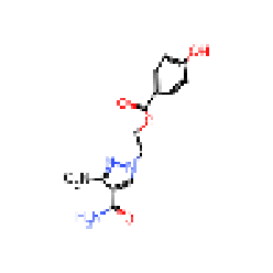 NC(=O)c1cn(CCOC(=O)c2ccc(O)cc2)nc1[N+](=O)[O-]